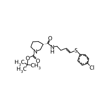 CC(C)(C)OC(=O)N1CCC[C@H](C(=O)NCC/C=C/Sc2ccc(Cl)cc2)C1